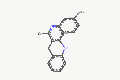 CC(C)c1nc2cc(C(C)(C)C)ccc2c2c1Cc1ccccc1N2